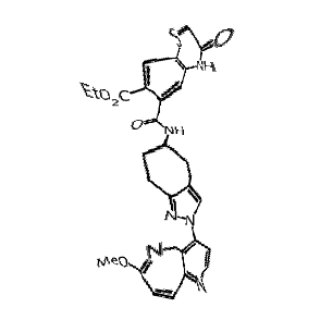 CCOC(=O)c1cc2c(cc1C(=O)NC1CCc3nn(-c4ccnc5ccc(OC)nc45)cc3C1)NC(=O)CS2